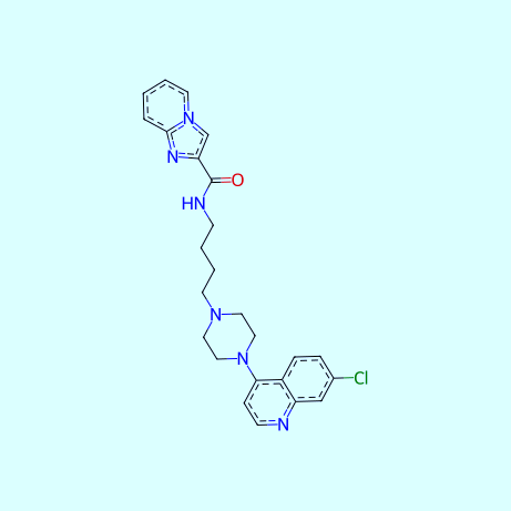 O=C(NCCCCN1CCN(c2ccnc3cc(Cl)ccc23)CC1)c1cn2ccccc2n1